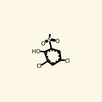 CS(=O)(=O)c1cc(Cl)cc(Cl)c1O